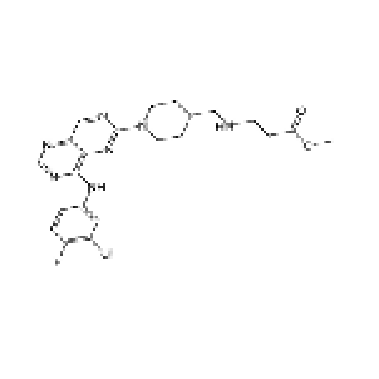 COC(=O)CCNCC1CCN(c2ncc3ncnc(Nc4ccc(F)c(Cl)c4)c3n2)CC1